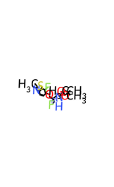 Cc1nc2ccc(OC/C(=C\F)CNC(=O)OC(C)(C)C)c(F)c2s1